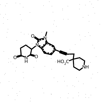 Cn1c(=O)n(C2CCC(=O)NC2=O)c2ccc(C#CCC3(C(=O)O)CCNCC3)cc21